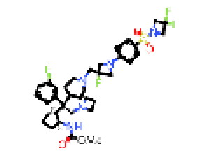 COC(=O)N[C@H]1CCC[C@@H]1[C@](CN1CCC1)(c1cccc(F)c1)C1CCN(CC2(F)CN(c3ccc(S(=O)(=O)N4CC(F)(F)C4)cc3)C2)CC1